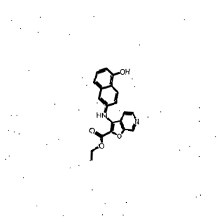 CCOC(=O)c1oc2cnccc2c1Nc1ccc2c(O)cccc2c1